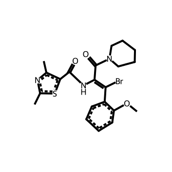 COc1ccccc1/C(Br)=C(\NC(=O)c1sc(C)nc1C)C(=O)N1CCCCC1